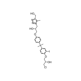 Cc1c(CO)nnn1CC(O)COc1ccc(C(C)(C)c2ccc(OCC(O)CCl)c(I)c2)cc1